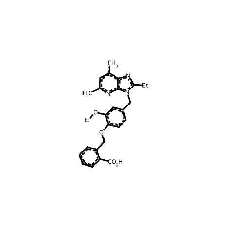 CCOc1cc(Cn2c(CC)nc3c(C)cc(C)nc32)ccc1OCc1ccccc1C(=O)O